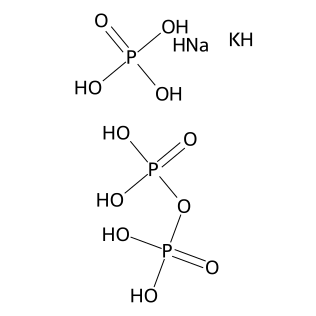 O=P(O)(O)O.O=P(O)(O)OP(=O)(O)O.[KH].[NaH]